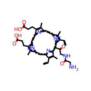 C=CC1=C(C)c2nc1cc1[nH]c(cc3nc(cc4[nH]c(c(C=C)c4C)c2C(=O)CNC(=O)CN)C(C)=C3CCC(=O)O)c(CCC(=O)O)c1C